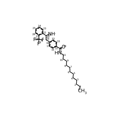 CCCCCCCCCCCCNC(=O)c1ccc(CC([NH])c2ccccc2C(F)(F)F)cc1